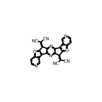 N#CC(C#N)=C1c2nc3c(nc2-c2c1oc1ccncc21)C(=C(C#N)C#N)c1oc2ccncc2c1-3